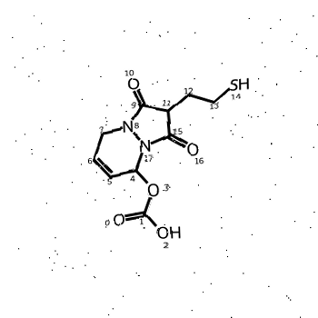 O=C(O)OC1C=CCN2C(=O)C(CCS)C(=O)N12